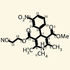 C.COC(=O)C1=C(C)NC(C)=C(C(=O)OCCC#N)C1c1cccc([N+](=O)[O-])c1